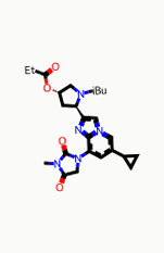 CCC(=O)O[C@H]1C[C@H](c2cn3cc(C4CC4)cc(N4CC(=O)N(C)C4=O)c3n2)N(C(C)CC)C1